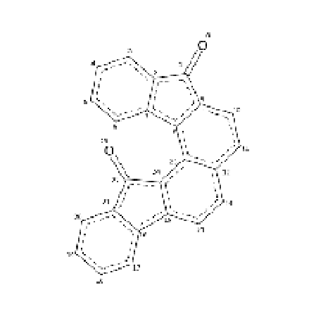 O=c1c2ccccc2c2c1ccc1ccc3c4ccccc4c(=O)c3c12